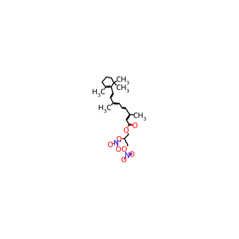 CC(C=CC1=C(C)CCCC1(C)C)=CC=CC(C)=CC(=O)OCC(CO[N+](=O)[O-])O[N+](=O)[O-]